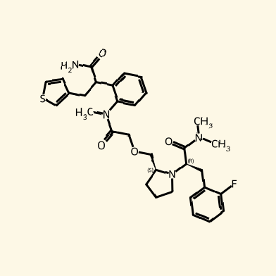 CN(C)C(=O)[C@@H](Cc1ccccc1F)N1CCC[C@H]1COCC(=O)N(C)c1ccccc1C(Cc1ccsc1)C(N)=O